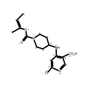 C/C=C(/C)OC(=O)N1CCC(Nc2cc(Cl)ncc2C(=O)O)CC1